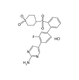 Cl.Nc1ncc(-c2ccc(-c3ccccc3S(=O)(=O)C3CCS(=O)(=O)CC3)cc2F)cn1